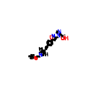 C[C@H](O)c1nccn1Cc1cc(-c2ccc(C#C[C@@H]3[C@H]4CN(CCO[Si](C)(C)C(C)(C)C)C[C@@H]34)cc2)on1